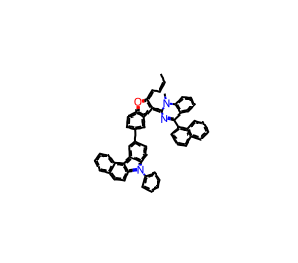 C\C=C/C=c1/oc2ccc(-c3ccc4c(c3)c3c5ccccc5ccc3n4-c3ccccc3)cc2/c1=C1\N=C(c2cccc3ccccc23)c2ccccc2N1C